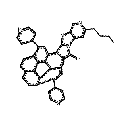 CCCCc1cc2c(cn1)nc1c3c4cc(-c5ccncc5)c5ccc6ccc7c(-c8ccncc8)cc(c3c(=O)n21)c1c7c6c5c41